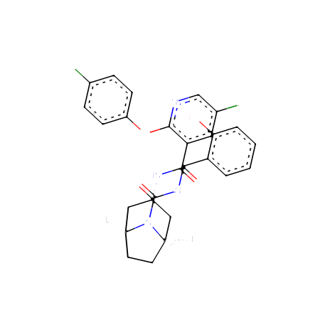 O=C(N[C@@H]1C[C@H]2CC[C@@H](C1)N2C(=O)NCc1ccccc1O)c1cc(F)cnc1Oc1ccc(F)cc1